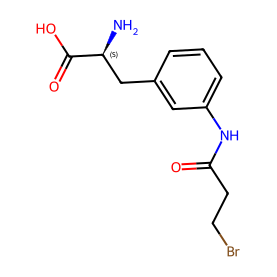 N[C@@H](Cc1cccc(NC(=O)CCBr)c1)C(=O)O